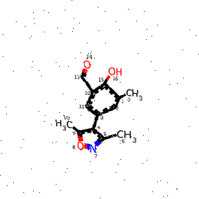 Cc1cc(-c2c(C)noc2C)cc(C=O)c1O